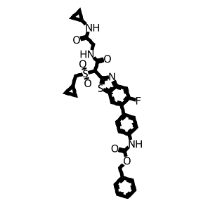 O=C(CNC(=O)C(c1nc2cc(F)c(-c3ccc(NC(=O)OCc4ccccc4)cc3)cc2s1)S(=O)(=O)CC1CC1)NC1CC1